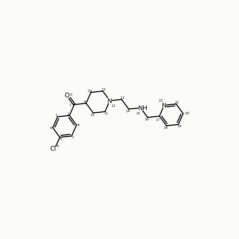 O=C(c1ccc(Cl)cc1)C1CCN(CCNCc2ccccn2)CC1